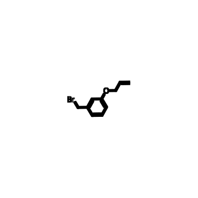 C=CCOc1cccc(CBr)c1